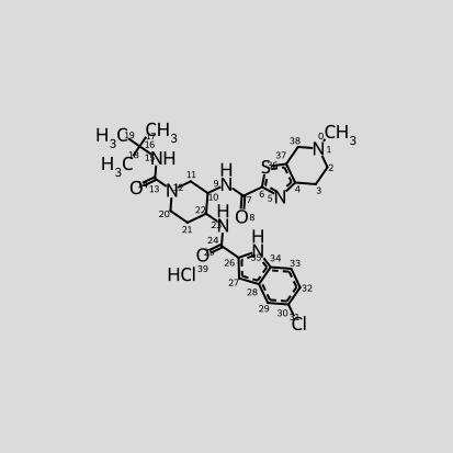 CN1CCc2nc(C(=O)NC3CN(C(=O)NC(C)(C)C)CCC3NC(=O)c3cc4cc(Cl)ccc4[nH]3)sc2C1.Cl